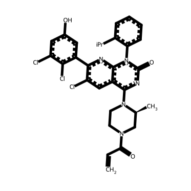 C=CC(=O)N1CCN(c2nc(=O)n(-c3ccccc3C(C)C)c3nc(-c4cc(O)cc(Cl)c4Cl)c(Cl)cc23)[C@@H](C)C1